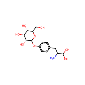 N[C@@H](Cc1ccc(OC2O[C@H](CO)[C@@H](O)[C@H](O)[C@H]2O)cc1)C(O)O